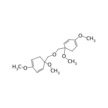 COC1=CCC(COCC2(OC)C=CC(OC)=CC2)(OC)C=C1